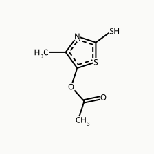 CC(=O)Oc1sc(S)nc1C